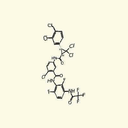 O=C(Nc1c(F)ccc(NC(=O)C(F)(F)F)c1F)c1cc(NC(=O)[C@H]2[C@H](c3ccc(Cl)c(Cl)c3)C2(Cl)Cl)ccc1Cl